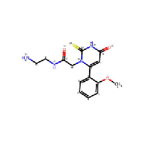 COc1ccccc1-c1cc(=O)[nH]c(=S)n1CC(=O)NCCN